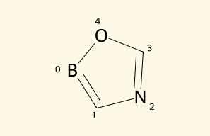 b1cnco1